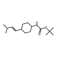 CC(C)/C=C/C1CCC(NC(=O)OC(C)(C)C)CC1